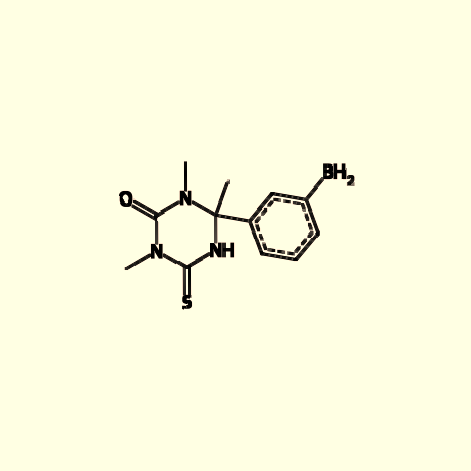 Bc1cccc(C2(C)NC(=S)N(C)C(=O)N2C)c1